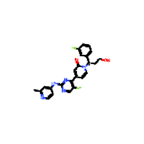 Cc1cc(Nc2ncc(F)c(-c3ccn([C@H](CCO)c4cccc(F)c4)c(=O)c3)n2)ccn1